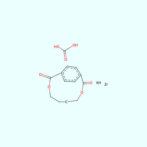 O=C(O)O.O=C1OCCCCOC(=O)c2ccc1cc2.[KH].[Zr]